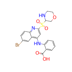 O=C(O)c1ccccc1Nc1cc(S(=O)(=O)C2COCCN2)nc2ccc(Br)cc12